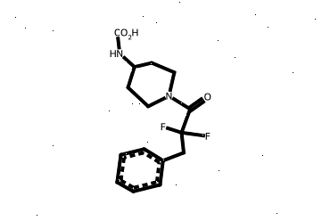 O=C(O)NC1CCN(C(=O)C(F)(F)Cc2ccccc2)CC1